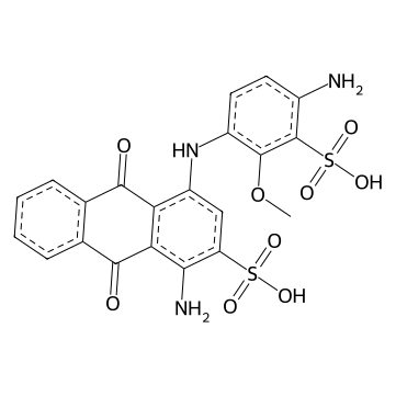 COc1c(Nc2cc(S(=O)(=O)O)c(N)c3c2C(=O)c2ccccc2C3=O)ccc(N)c1S(=O)(=O)O